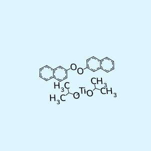 CC(C)[O][Ti][O]C(C)C.c1ccc2cc(OOc3ccc4ccccc4c3)ccc2c1